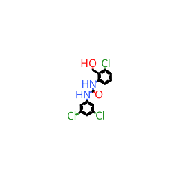 O=C(Nc1cc(Cl)cc(Cl)c1)Nc1cccc(Cl)c1CO